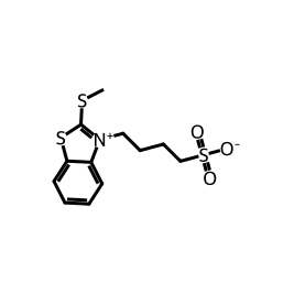 CSc1sc2ccccc2[n+]1CCCCS(=O)(=O)[O-]